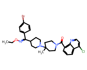 CCON=C(c1ccc(Br)cc1)C1CCN(C2(C)CCN(C(=O)c3cccc4c(Cl)ccnc34)CC2)CC1